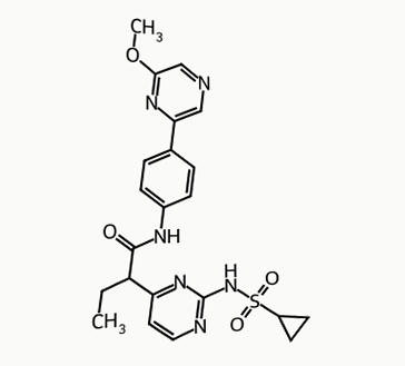 CCC(C(=O)Nc1ccc(-c2cncc(OC)n2)cc1)c1ccnc(NS(=O)(=O)C2CC2)n1